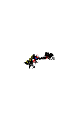 CCCCC(CC)C[Si]1(CC(CC)CCCC)c2cc(C)sc2-c2sc(-c3sc(C)c4c3C(=O)N(CCCCCCCCO[Si](c3ccccc3)(c3ccccc3)C(C)(C)C)C4=O)cc21